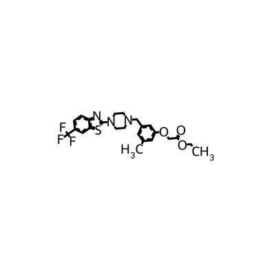 CCOC(=O)COc1cc(C)cc(CN2CCN(c3nc4ccc(C(F)(F)F)cc4s3)CC2)c1